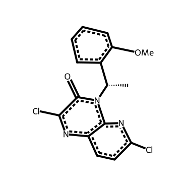 COc1ccccc1[C@H](C)n1c(=O)c(Cl)nc2ccc(Cl)nc21